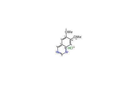 COc1cc2cncnc2cc1OC.Cl